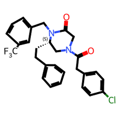 O=C(Cc1ccc(Cl)cc1)N1CC(=O)N(Cc2cccc(C(F)(F)F)c2)[C@@H](CCc2ccccc2)C1